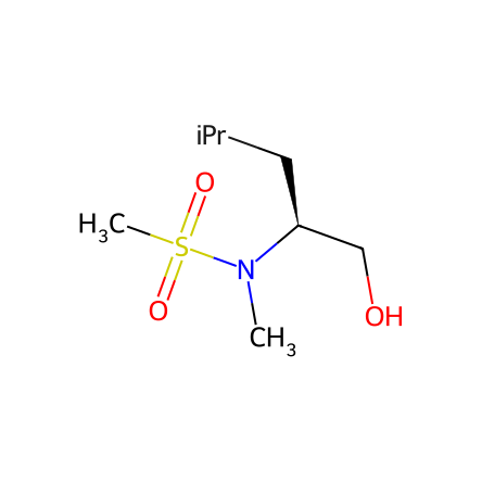 CC(C)C[C@@H](CO)N(C)S(C)(=O)=O